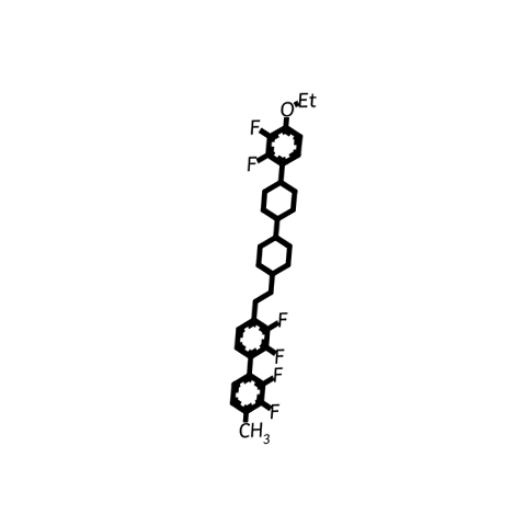 CCOc1ccc(C2CCC(C3CCC(CCc4ccc(-c5ccc(C)c(F)c5F)c(F)c4F)CC3)CC2)c(F)c1F